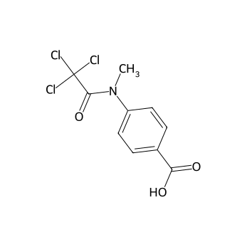 CN(C(=O)C(Cl)(Cl)Cl)c1ccc(C(=O)O)cc1